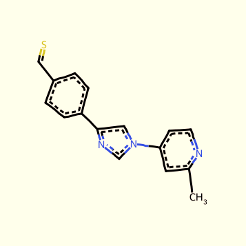 Cc1cc(-n2cnc(-c3ccc(C=S)cc3)c2)ccn1